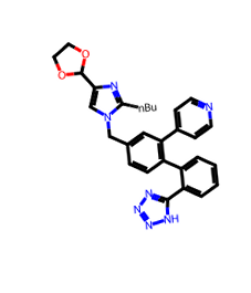 CCCCc1nc(C2OCCO2)cn1Cc1ccc(-c2ccccc2-c2nnn[nH]2)c(-c2ccncc2)c1